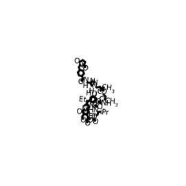 CCc1c2c(nc3ccc(O)cc13)-c1cc3c(c(=O)n1C2)COC(=O)C3(CC)OC(=O)OCC(NC(=O)OC(=O)NC(C)(C)CCOC(C)(C)CCn1cc(CNC(=O)C2CCC(CN3C(=O)CCC3=O)CC2)nn1)C(C)C